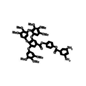 COc1cc(Oc2cc(C(=O)Oc3ccc(OC(=O)c4cc(N)cc(N)c4)cc3)cc(Oc3cc(OC)c(OC)c(OC)c3)c2Oc2cc(OC)c(OC)c(OC)c2)cc(OC)c1OC